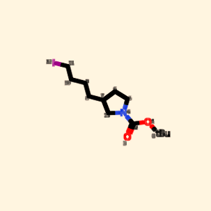 CC(C)(C)OC(=O)N1CCC(CCCCI)C1